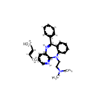 CN(C)CCN1c2ccccc2C(c2ccccc2)=Nc2cccnc21.O=C(O)/C=C/C(=O)O